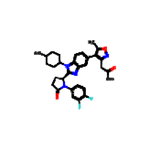 COC(=O)Cc1noc(C)c1-c1ccc2c(c1)nc([C@@H]1CCC(=O)N1c1ccc(F)c(F)c1)n2C1CCC(OC(C)=O)CC1